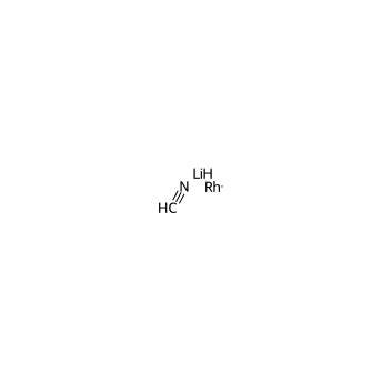 C#N.[LiH].[Rh]